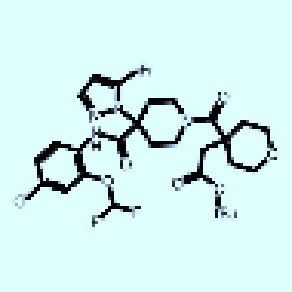 CC(C)c1ccnn1C1(C(=O)Nc2ccc(Cl)cc2OC(F)F)CCN(C(=O)C2(CC(=O)OC(C)(C)C)CCOCC2)CC1